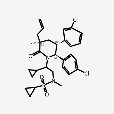 C=CC[C@@]1(C)C[C@H](c2cccc(Cl)c2)[C@@H](c2ccc(Cl)cc2)N(C(CN(C)S(=O)(=O)C2CC2)C2CC2)C1=O